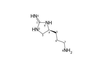 N=C1NC[C@H](CCCN)N1